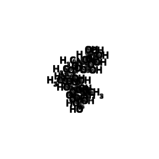 CC(=O)NC1[C@H](OCC2O[C@H](C)C(NC(C)=O)[C@@H](O[C@@H]3OC(CO)[C@H](O)[C@H](O[C@]4(C(=O)O)CC(O)[C@@H](NC(C)=O)C([C@H](O)[C@H](O)CO)O4)C3O)[C@H]2O)OC(CO)[C@@H](O[C@@H]2OC(CO)[C@H](O)[C@H](O)C2O)[C@@H]1O